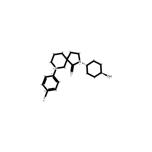 O=C1N([C@H]2CC[C@H](O)CC2)CCC12CCCN(c1ccc(F)cc1)C2